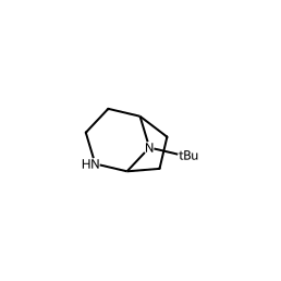 CC(C)(C)N1C2CCNC1CC2